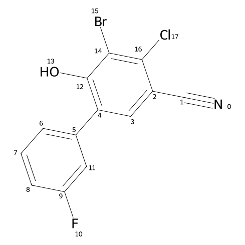 N#Cc1cc(-c2cccc(F)c2)c(O)c(Br)c1Cl